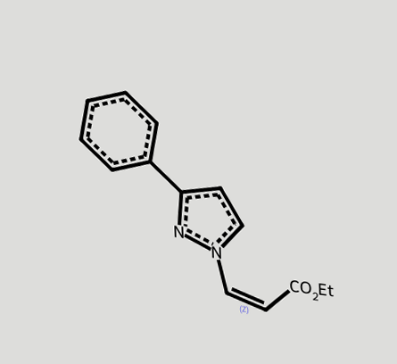 CCOC(=O)/C=C\n1ccc(-c2ccccc2)n1